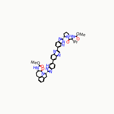 COC(=O)N[C@H]1CCc2cccc3c2N(C1=O)[C@H](c1nc2ccc(-c4ccc5nc(-c6ccc7nc([C@@H]8CCCN8C(=O)[C@@H](NC(=O)OC)C(C)C)[nH]c7c6)cnc5c4)cc2[nH]1)C3